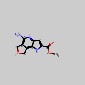 COC(=O)c1cc2nc(N)c3c(c2[nH]1)COC3